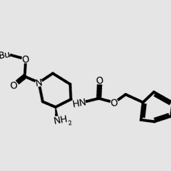 CC(C)(C)OC(=O)N1CC[C@H](NC(=O)OCc2ccccc2)[C@@H](N)C1